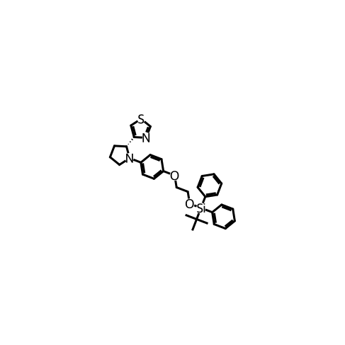 CC(C)(C)[Si](OCCOc1ccc(N2CCC[C@@H]2c2cscn2)cc1)(c1ccccc1)c1ccccc1